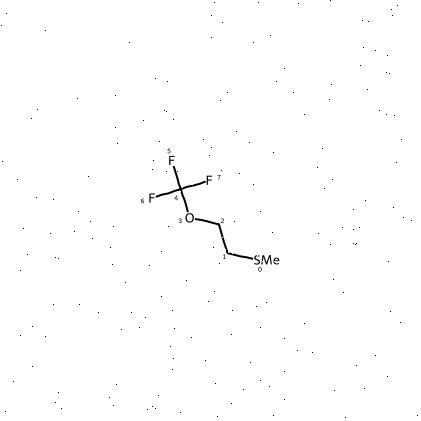 CSCCOC(F)(F)F